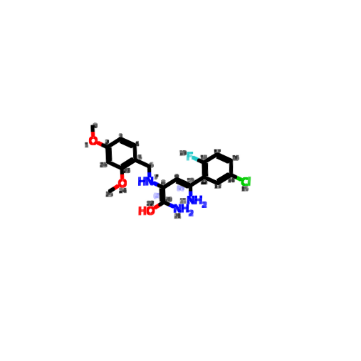 COc1ccc(CNC(/C=C(\N)c2cc(Cl)ccc2F)=C(/N)O)c(OC)c1